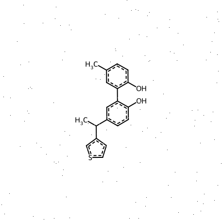 Cc1ccc(O)c(-c2cc(C(C)c3ccsc3)ccc2O)c1